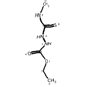 CCOC(=O)NNC(=S)NC